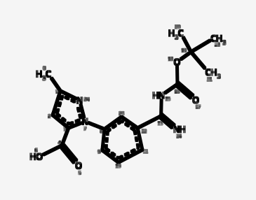 Cc1cc(C(=O)O)n(-c2cccc(C(=N)NC(=O)OC(C)(C)C)c2)n1